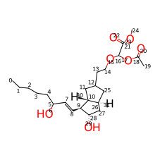 CCCCCC(O)C=C[C@H]1[C@@H]2CC(CCOC(OC(C)=O)C(=O)OC)C[C@H]2C[C@@H]1O